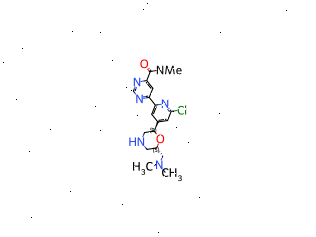 CNC(=O)c1cc(-c2cc([C@@H]3CNC[C@@H](CN(C)C)O3)cc(Cl)n2)ncn1